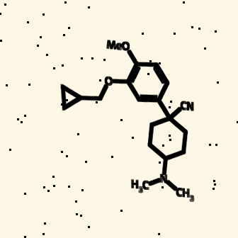 COc1ccc(C2(C#N)CCC(N(C)C)CC2)cc1OCC1CC1